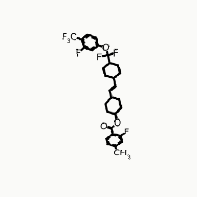 Cc1ccc(C(=O)OC2CCC(/C=C/C3CCC(C(F)(F)Oc4ccc(C(F)(F)F)c(F)c4)CC3)CC2)c(F)c1